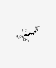 CCCN=C=NCCCN(C)C.Cl